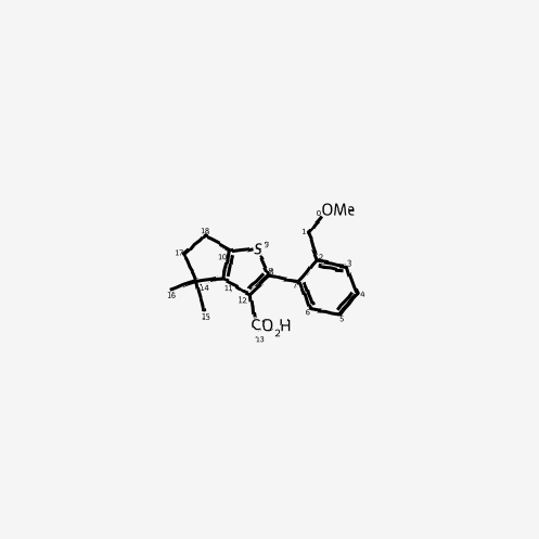 COCc1ccccc1-c1sc2c(c1C(=O)O)C(C)(C)CC2